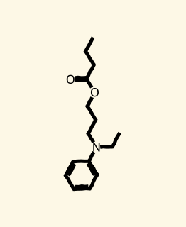 CCCC(=O)OCCCN(CC)c1ccccc1